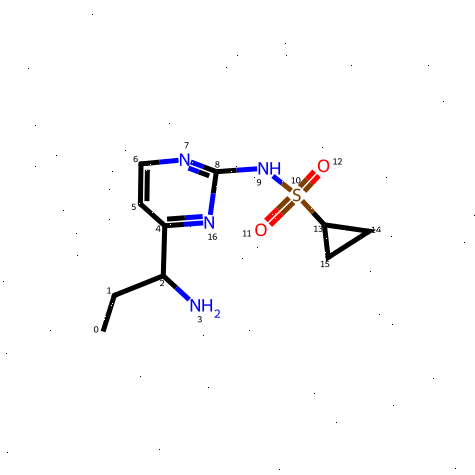 CCC(N)c1ccnc(NS(=O)(=O)C2CC2)n1